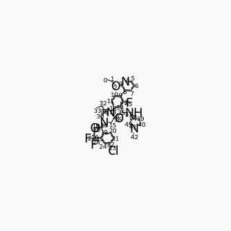 CCOc1ncccc1-c1ccc(N2CCN(C(=O)c3ccc(Cl)cc3C(F)(F)F)C[C@H]2CC)c(C(=O)N[C@H]2CCN(C)C2)c1F